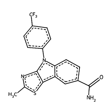 Cc1nc2c(s1)c1cc(C(N)=O)ccc1n2-c1ccc(C(F)(F)F)cc1